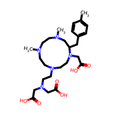 Cc1ccc(CC2CN(C)CCN(C)CCN(CCN(CC(=O)O)CC(=O)O)CCN2CC(=O)O)cc1